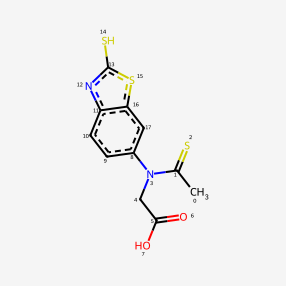 CC(=S)N(CC(=O)O)c1ccc2nc(S)sc2c1